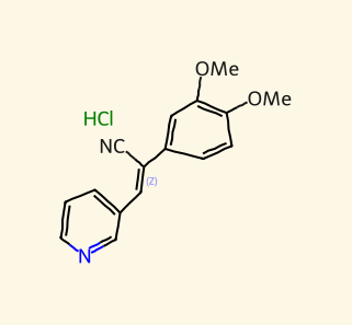 COc1ccc(/C(C#N)=C/c2cccnc2)cc1OC.Cl